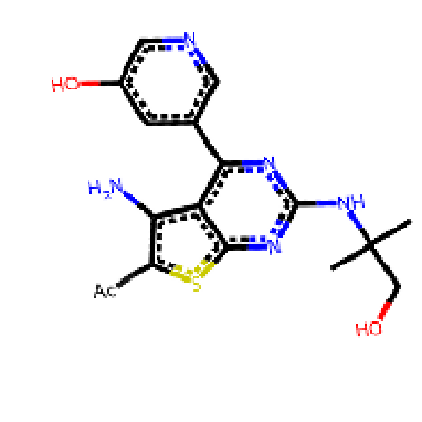 CC(=O)c1sc2nc(NC(C)(C)CO)nc(-c3cncc(O)c3)c2c1N